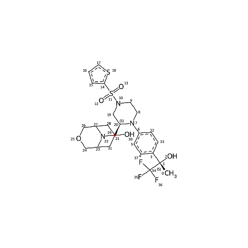 C[C@](O)(c1ccc(N2CCN(S(=O)(=O)c3cccs3)C[C@@H]2CN2C3COCC2CC(O)C3)cc1)C(F)(F)F